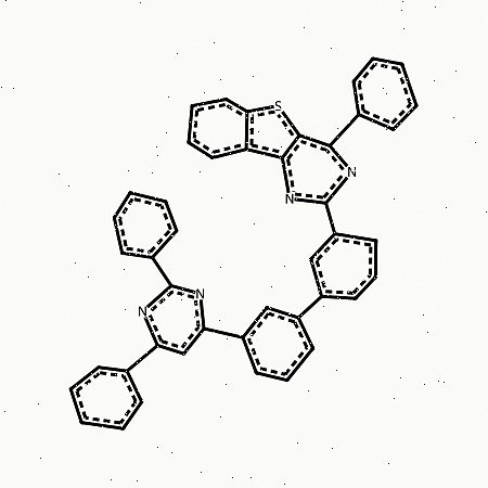 c1ccc(-c2cc(-c3cccc(-c4cccc(-c5nc(-c6ccccc6)c6sc7ccccc7c6n5)c4)c3)nc(-c3ccccc3)n2)cc1